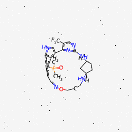 CP(C)(=O)c1c2ccc3c(c[nH]c13)-c1nc(ncc1C(F)(F)F)N[C@H]1CC[C@@H](C1)NCCCO/N=C\2